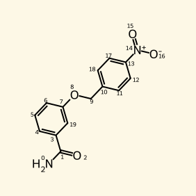 NC(=O)c1cccc(OCc2ccc([N+](=O)[O-])cc2)c1